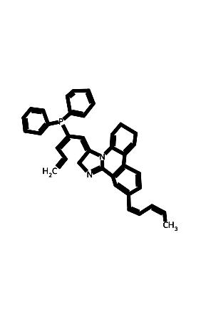 C=C/C=C(\C=C1/CN=C2c3cc(/C=C\C=C/C)ccc3C3=CCCC=C3N21)P(c1ccccc1)c1ccccc1